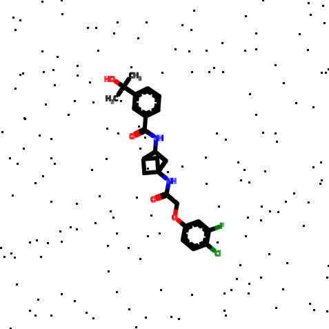 CC(C)(O)c1cccc(C(=O)NC2CC3(NC(=O)COc4ccc(Cl)c(F)c4)CC2C3)c1